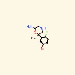 CC1(c2cc(Br)ccc2F)CNCC(N)O1